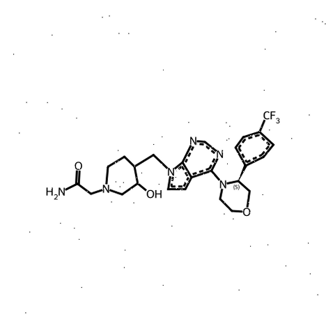 NC(=O)CN1CCC(Cn2ccc3c(N4CCOC[C@@H]4c4ccc(C(F)(F)F)cc4)ncnc32)C(O)C1